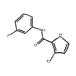 O=C(Nc1cccc(F)c1)c1[nH]ccc1Cl